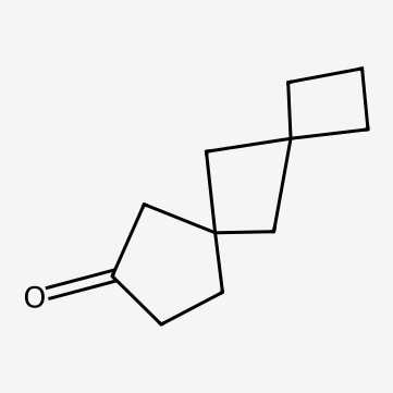 O=C1CCC2(C1)CC1(CCC1)C2